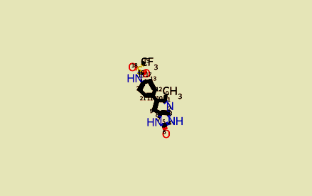 Cc1nc2[nH]c(=O)[nH]c2cc1-c1ccc(NS(=O)(=O)C(F)(F)F)cc1